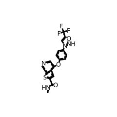 CNC(=O)c1cc2c(Oc3ccc(N4C=C(C(F)(F)F)ON4)cc3)cncc2s1